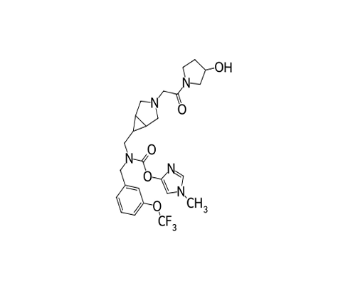 Cn1cnc(OC(=O)N(Cc2cccc(OC(F)(F)F)c2)CC2C3CN(CC(=O)N4CCC(O)C4)CC32)c1